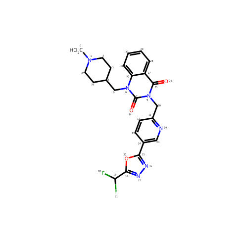 O=C(O)N1CCC(Cn2c(=O)n(Cc3ccc(-c4nnc(C(F)F)o4)cn3)c(=O)c3ccccc32)CC1